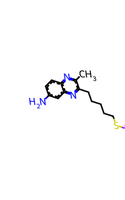 Cc1nc2ccc(N)cc2nc1CCCCCSI